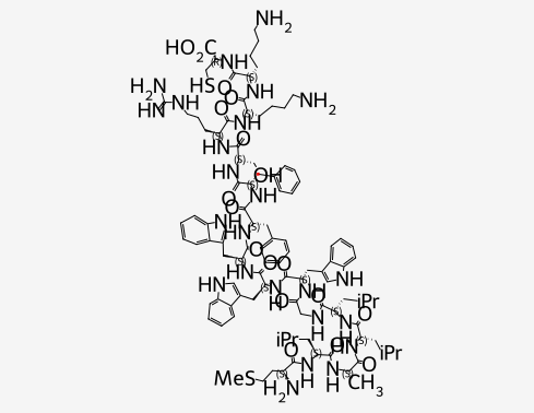 CSCC[C@H](N)C(=O)N[C@@H](CC(C)C)C(=O)N[C@@H](C)C(=O)N[C@@H](CC(C)C)C(=O)N[C@@H](CC(C)C)C(=O)NCC(=O)N[C@@H](Cc1c[nH]c2ccccc12)C(=O)N[C@@H](Cc1c[nH]c2ccccc12)C(=O)N[C@@H](Cc1c[nH]c2ccccc12)C(=O)N[C@@H](Cc1ccccc1)C(=O)N[C@@H](Cc1ccccc1)C(=O)N[C@@H](CO)C(=O)N[C@@H](CCCNC(=N)N)C(=O)N[C@@H](CCCCN)C(=O)N[C@@H](CCCCN)C(=O)N[C@@H](CS)C(=O)O